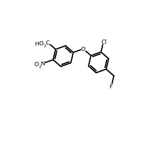 O=C(O)c1cc(Oc2ccc(CF)cc2Cl)ccc1[N+](=O)[O-]